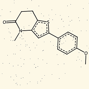 COc1ccc(-c2cc3c(s2)CCC(=O)N3C)cc1